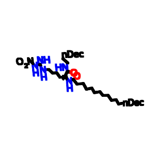 CCCCCCCCCCCCCCCCCCCCCC(=O)N[C@@H](CCCCNC(=N)N[N+](=O)[O-])C(=O)NCCCCCCCCCCCC